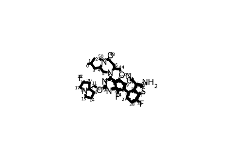 CC(C)CC1CN2c3nc(OC[C@@]45CCCN4C[C@H](F)C5)nc4c(F)c(-c5ccc(F)c6sc(N)c(C#N)c56)c(Cl)c(c34)OCC2CC(=O)N1C